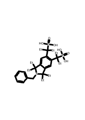 CCC1(CC)c2cc(C(CC)(CC)P(=O)(O)O)c(C(CC)(CC)P(=O)(O)O)cc2C(CC)(CC)N1Cc1ccccc1